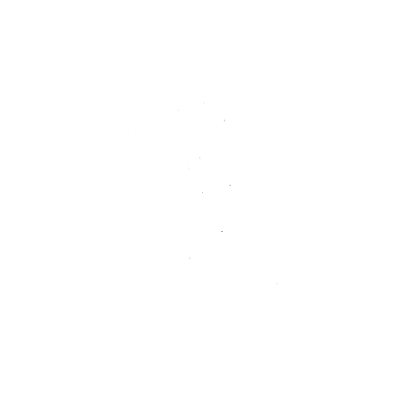 C[Si](C)(Cl)C(=C[SiH2]c1ccccc1CCl)[SiH2]c1ccccc1CCl